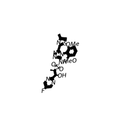 COc1cccc(OC)c1-n1c(NS(=O)(=O)[C@H](C)[C@@H](O)c2ncc(F)cn2)nnc1-c1nc(C)cs1